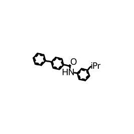 CC(C)c1cccc(NC(=O)c2ccc(-c3ccccc3)cc2)c1